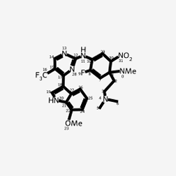 CNC1(CCN(C)C)C=C(F)C(Nc2ncc(C(F)(F)F)c(-c3c[nH]c4c(OC)cccc34)n2)=CC1[N+](=O)[O-]